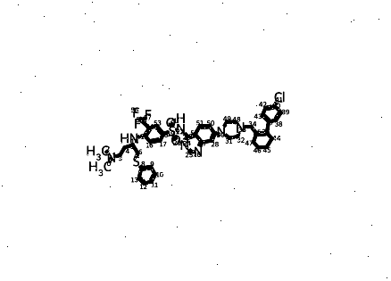 CN(C)CCC(CSc1ccccc1)Nc1ccc(S(=O)(=O)Nc2ncnc3cc(N4CCN(CC5=C(c6ccc(Cl)cc6)CCCC5)CC4)ccc23)cc1C(F)(F)F